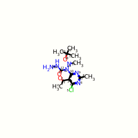 CC(=O)c1c(Cl)nc(C)nc1N(C(=O)NN)N(C)OC(C)(C)C